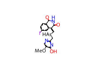 COc1cnc(C[AsH]/C=C2/C(=O)NC(=O)c3ccc(I)cc32)nc1O